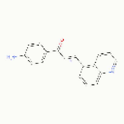 Nc1ccc(C(=O)/C=C/c2cccc3ncccc23)cc1